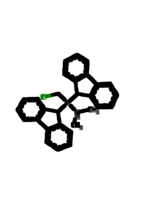 C[SiH](C)[Zr]([CH2]Cl)([CH]1c2ccccc2-c2ccccc21)[CH]1c2ccccc2-c2ccccc21